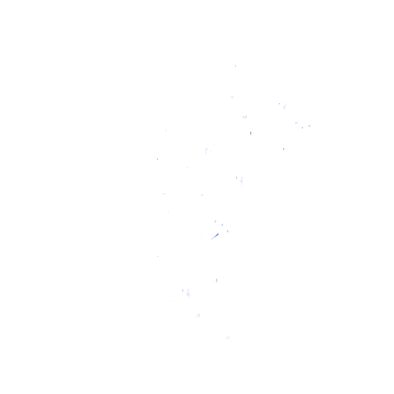 COCCOc1nc(-c2cnn3ccccc23)nc(N[C@@H]2CCCN(C(=O)O)C2)c1C